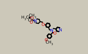 COc1ccc(C(=O)N(Cc2ccncc2)Cc2cccc(OCC3CCN(C(=O)OC(C)(C)C)CC3)c2)cc1